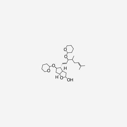 CC(C)=CCC(C)[C@@H](C=C[C@@H]1[C@H]2CC(O)O[C@H]2C[C@H]1OC1CCCCO1)OC1CCCCO1